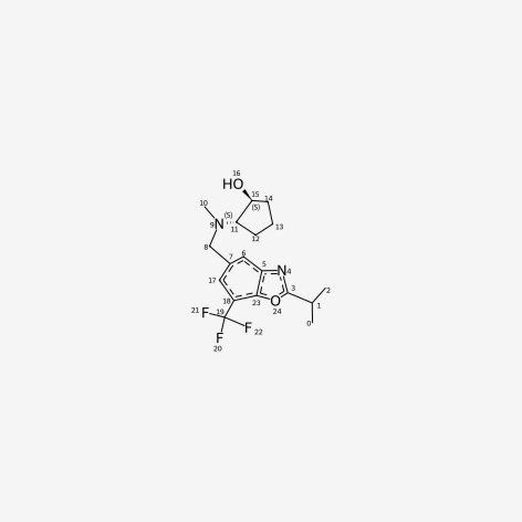 CC(C)c1nc2cc(CN(C)[C@H]3CCC[C@@H]3O)cc(C(F)(F)F)c2o1